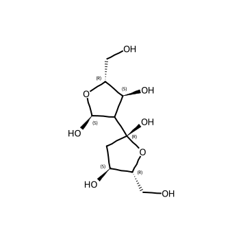 OC[C@H]1O[C@@](O)(C2[C@@H](O)O[C@H](CO)[C@H]2O)C[C@@H]1O